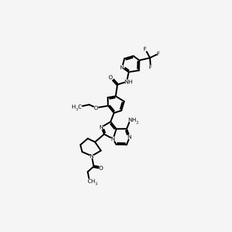 CCOc1cc(C(=O)Nc2cc(C(F)(F)F)ccn2)ccc1-c1nc(C2CCCN(C(=O)CC)C2)n2ccnc(N)c12